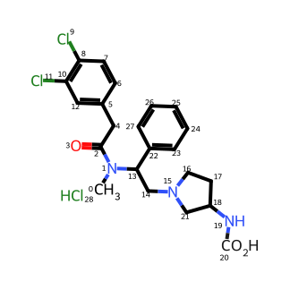 CN(C(=O)Cc1ccc(Cl)c(Cl)c1)C(CN1CCC(NC(=O)O)C1)c1ccccc1.Cl